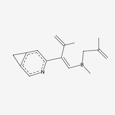 C=C(C)CB(C)/C=C(\C(=C)C)c1cc2c(cn1)C2